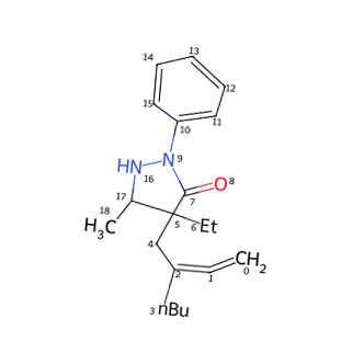 C=C=C(CCCC)CC1(CC)C(=O)N(c2ccccc2)NC1C